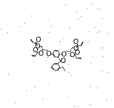 C=CC(=O)OCC(COc1ccc(OCC(COC(=O)C=C)OC(=O)C=C)c(C(=O)c2ccccc2CC)c1)OC(=O)C=C